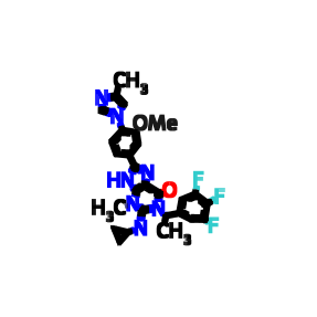 COc1cc(-c2nc3c(=O)n(C(C)c4cc(F)c(F)c(F)c4)/c(=N/C4CC4)n(C)c3[nH]2)ccc1-n1cnc(C)c1